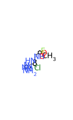 CS(=O)(=O)c1cc(CNCc2cc3cc(Cl)cc(Cn4cnc5c(N)ncnc54)c3[nH]2)ccc1F